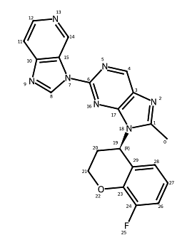 Cc1nc2cnc(-n3cnc4ccncc43)nc2n1[C@@H]1CCOc2c(F)cccc21